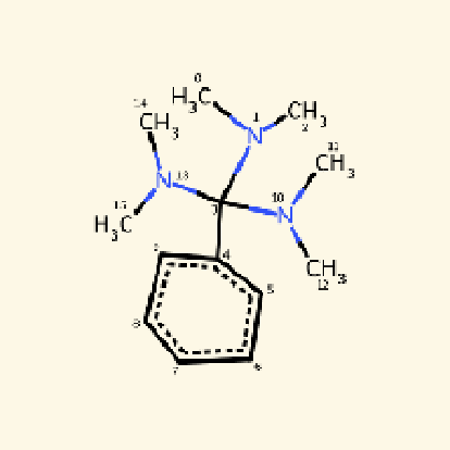 CN(C)C(c1ccccc1)(N(C)C)N(C)C